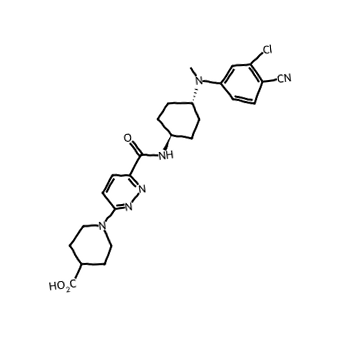 CN(c1ccc(C#N)c(Cl)c1)[C@H]1CC[C@H](NC(=O)c2ccc(N3CCC(C(=O)O)CC3)nn2)CC1